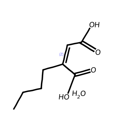 CCCC/C(=C/C(=O)O)C(=O)O.O